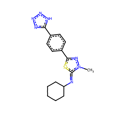 Cn1nc(-c2ccc(-c3nnn[nH]3)cc2)sc1=NC1CCCCC1